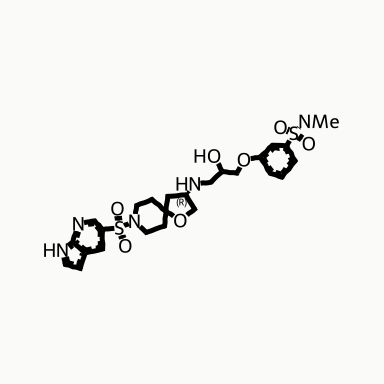 CNS(=O)(=O)c1cccc(OCC(O)CN[C@H]2COC3(CCN(S(=O)(=O)c4cnc5[nH]ccc5c4)CC3)C2)c1